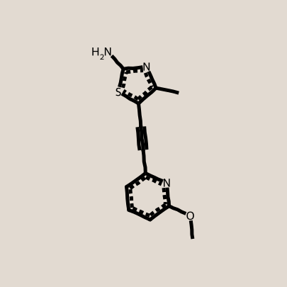 COc1cccc(C#Cc2sc(N)nc2C)n1